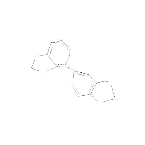 [c]1c(-c2[c]ccc3c2OCO3)ccc2c1OCO2